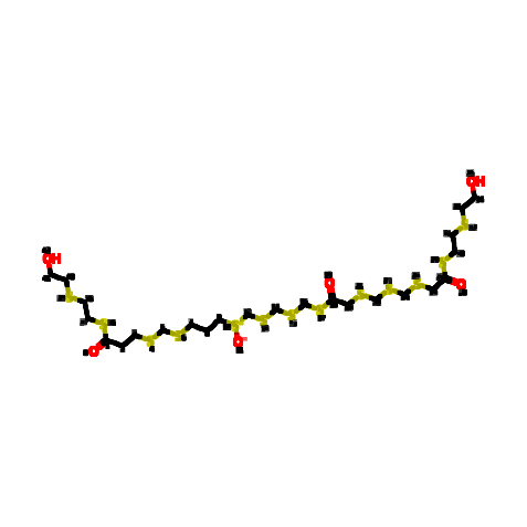 O=C(CCSCSCCC[S+]([O-])CSCSCSC(=O)CSCSCSCC(=O)SCCSCCO)SCCSCCO